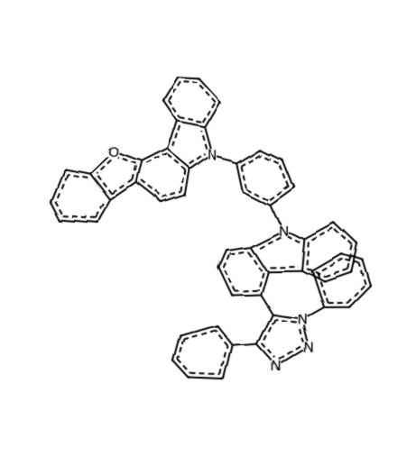 c1ccc(-c2nnn(-c3ccccc3)c2-c2cccc3c2c2ccccc2n3-c2cccc(-n3c4ccccc4c4c5oc6ccccc6c5ccc43)c2)cc1